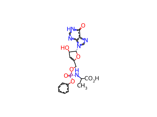 CC(N[P@](=O)(OCC1=C[C@@H](O)[C@H](n2cnc3c(=O)[nH]cnc32)O1)Oc1ccccc1)C(=O)O